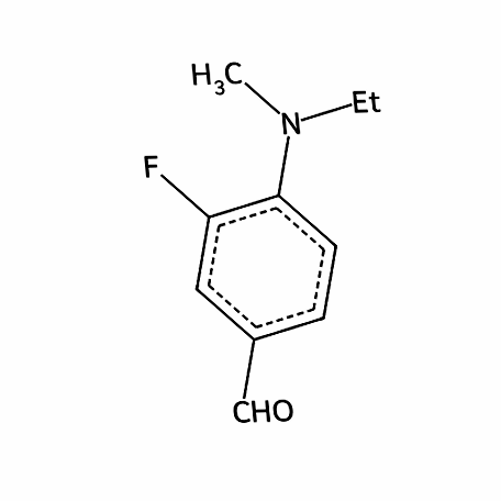 [CH2]CN(C)c1ccc(C=O)cc1F